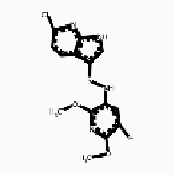 COc1nc(OC)c(NSc2c[nH]c3nc(Cl)ccc23)cc1F